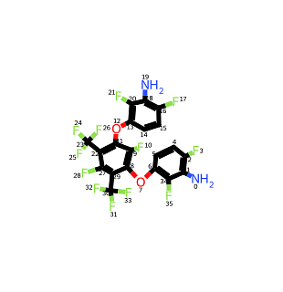 Nc1c(F)ccc(Oc2c(F)c(Oc3ccc(F)c(N)c3F)c(C(F)(F)F)c(F)c2C(F)(F)F)c1F